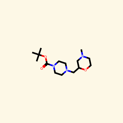 CN1CCOC(CN2CCN(C(=O)OC(C)(C)C)CC2)C1